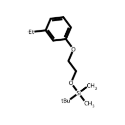 C[CH]c1cccc(OCCO[Si](C)(C)C(C)(C)C)c1